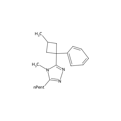 CCCCCc1nnc(C2(c3ccccc3)CC(C)C2)n1C